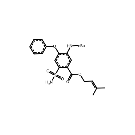 CCCCNc1cc(C(=O)OCC=C(C)C)c(S(N)(=O)=O)cc1Oc1ccccc1